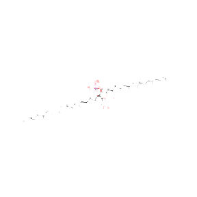 CCCCCCCCCCCCCCCCCCC(CCCCCCCCCCCCCCCCCC)(OP(=O)(O)O)C(O)CO